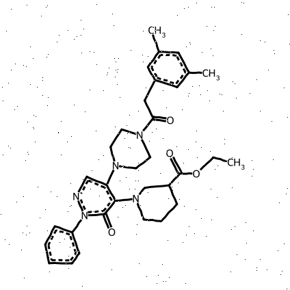 CCOC(=O)C1CCCN(c2c(N3CCN(C(=O)Cc4cc(C)cc(C)c4)CC3)cnn(-c3ccccc3)c2=O)C1